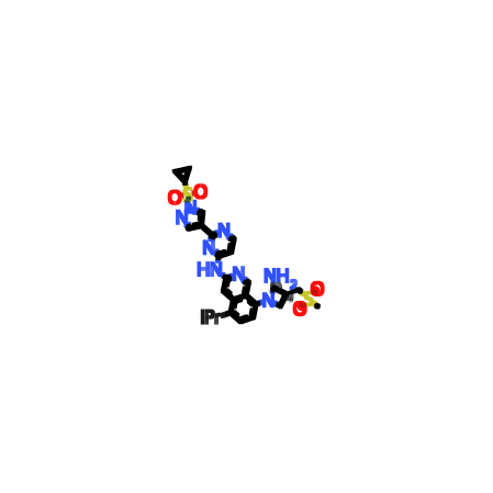 CC(C)c1ccc(N2C[C@H](CS(C)(=O)=O)[C@H]2N)c2cnc(Nc3ccnc(-c4cnn(S(=O)(=O)C5CC5)c4)n3)cc12